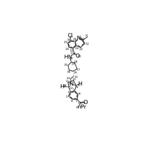 CCCC(=O)c1ccc2c(c1)[C@H]1CC[C@@H]2N1CC[C@H]1CC[C@H](NC(=O)c2ccc(Cl)c3nc(C)ccc23)CC1